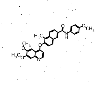 COc1ccc(NC(=O)c2ccc3c(C)c(Oc4ccnc5cc(OC)c(OC)cc45)ccc3c2)cc1